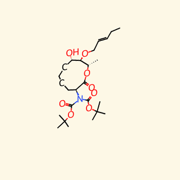 CC/C=C/CO[C@H]1[C@H](C)OC(=O)[C@@H](N(C(=O)OC(C)(C)C)C(=O)OC(C)(C)C)CCCC[C@@H]1O